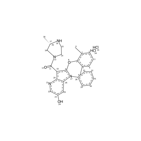 Cc1cccc(C)c1Oc1c(C(=O)N2CCN[C@@H](C)C2)c2ncc(O)cc2n1-c1ccccc1.Cl.Cl